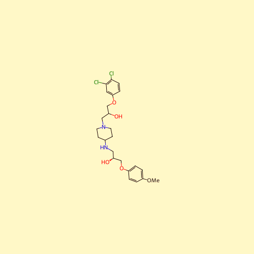 COc1ccc(OC[C@@H](O)CNC2CCN(CC(O)COc3ccc(Cl)c(Cl)c3)CC2)cc1